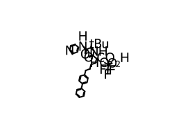 CC(C)(C)C(NC(=O)C(CCCCc1ccc(-c2ccccc2)cc1)C(=O)O)C(=O)Nc1ccncc1.O=C(O)C(F)(F)F